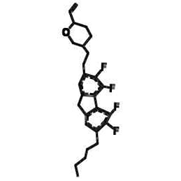 C=CC1CCC(CCc2cc3c(c(F)c2F)-c2c(cc(CCCCC)c(F)c2F)C3)CO1